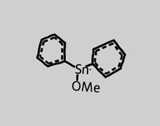 C[O][Sn]([c]1ccccc1)[c]1ccccc1